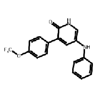 O=c1[nH]cc(Nc2ccccc2)cc1-c1ccc(OC(F)(F)F)cc1